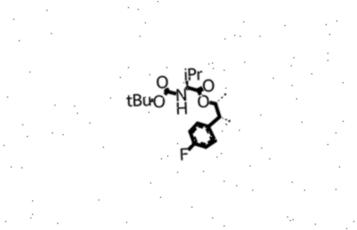 CC(C)[C@H](NC(=O)OC(C)(C)C)C(=O)O[C@H](C)[C@H](C)c1ccc(F)cc1